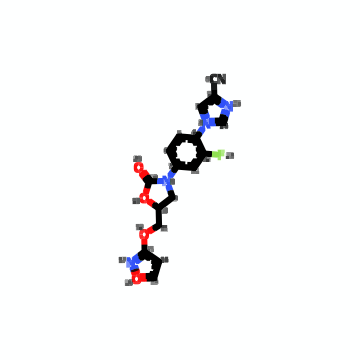 N#Cc1cn(-c2ccc(N3CC(COc4ccon4)OC3=O)cc2F)cn1